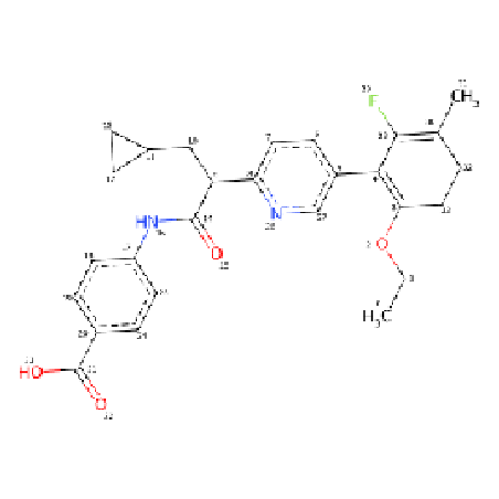 CCOC1=C(c2ccc(C(CC3CC3)C(=O)Nc3ccc(C(=O)O)cc3)nc2)C(F)=C(C)CC1